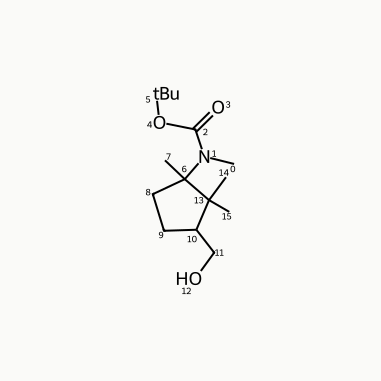 CN(C(=O)OC(C)(C)C)C1(C)CCC(CO)C1(C)C